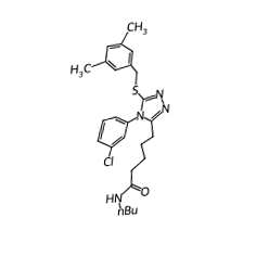 CCCCNC(=O)CCCCc1nnc(SCc2cc(C)cc(C)c2)n1-c1cccc(Cl)c1